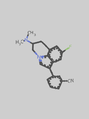 CN(C)C1Cc2cc(F)cc3c(-c4cccc(C#N)c4)cn(c23)C1